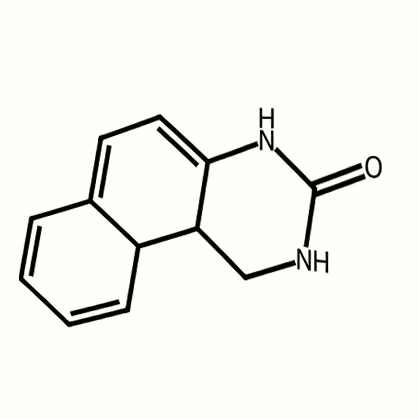 O=C1NCC2C(=CC=C3C=CC=CC32)N1